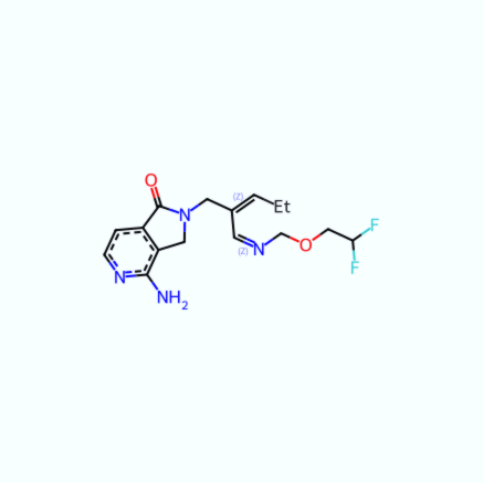 CC/C=C(\C=N/COCC(F)F)CN1Cc2c(ccnc2N)C1=O